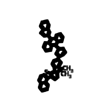 CC1(C)c2cc(-c3cccc(-c4c5ccccc5c(-c5ccc6ccccc6c5)c5ccccc45)c3)ccc2-c2c1ccc1c2sc2ccc3ccccc3c21